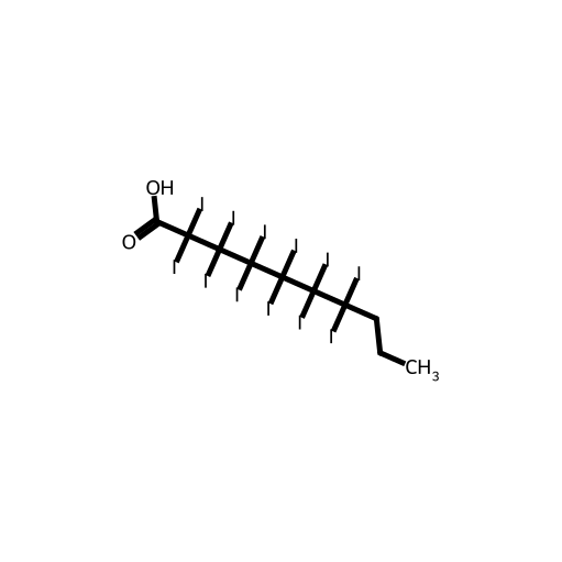 CCCC(I)(I)C(I)(I)C(I)(I)C(I)(I)C(I)(I)C(I)(I)C(=O)O